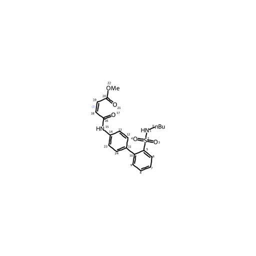 CCCCNS(=O)(=O)c1ccccc1-c1ccc(NC(=O)/C=C\C(=O)OC)cc1